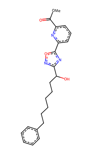 COC(=O)c1cccc(-c2nc(C(O)CCCCCCc3ccccc3)no2)n1